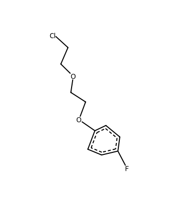 Fc1ccc(OCCOCCCl)cc1